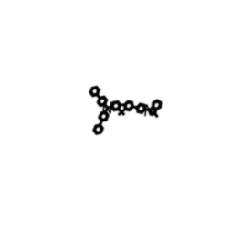 Cc1cn(-c2ccc(-c3ccc4c(c3)C(C)(C)c3cc(N(c5ccc(-c6ccccc6)cc5)c5ccc(-c6ccccc6)cc5)ccc3-4)cc2)c2ccccc12